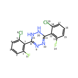 Fc1cccc(Cl)c1C1=NN=C(c2c(F)cccc2Cl)NN1